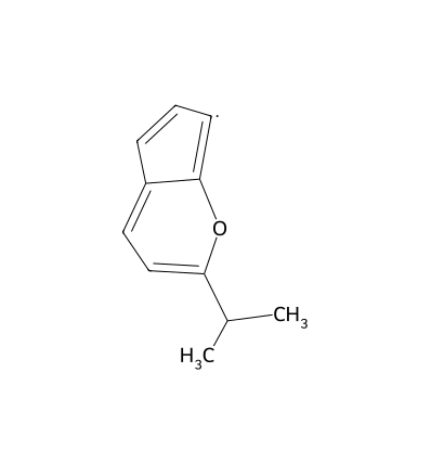 CC(C)c1ccc2cc[c]c-2o1